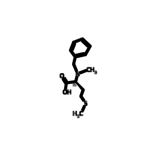 CSCC[C@@H](C(=O)O)N(C)Cc1ccccc1